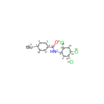 CC(C)(C)c1ccc(C(=O)Nc2cc(Cl)c(Cl)cc2Cl)cc1